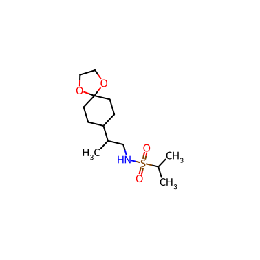 CC(CNS(=O)(=O)C(C)C)C1CCC2(CC1)OCCO2